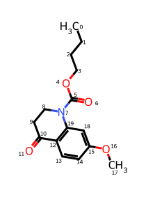 CCCCOC(=O)N1CCC(=O)c2ccc(OC)cc21